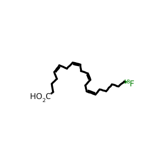 O=C(O)CCC/C=C\C/C=C\C/C=C\C/C=C\CCCCC[18F]